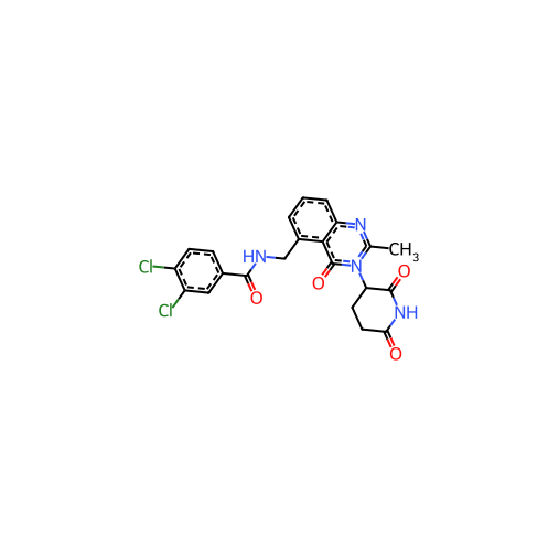 Cc1nc2cccc(CNC(=O)c3ccc(Cl)c(Cl)c3)c2c(=O)n1C1CCC(=O)NC1=O